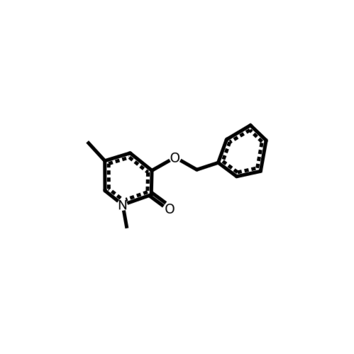 Cc1cc(OCc2ccccc2)c(=O)n(C)c1